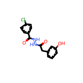 O=C(Cc1cccc(O)c1)NNC(=O)c1ccc(Cl)cc1